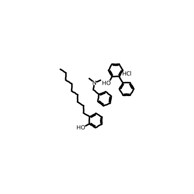 CCCCCCCCCc1ccccc1O.CN(C)Cc1ccccc1.Cl.Oc1ccccc1-c1ccccc1